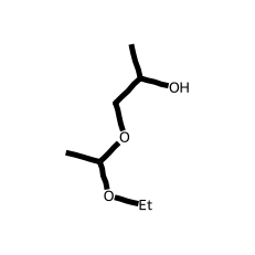 CCOC(C)OCC(C)O